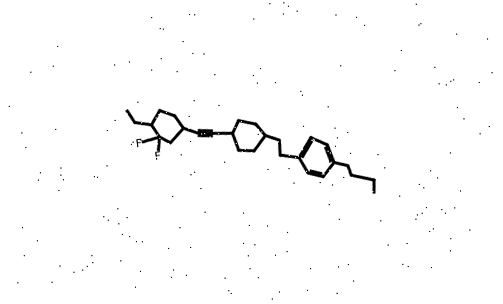 CCCCc1ccc(CCC2CCC(C#CC3CCC(CC)C(F)(F)C3)CC2)cc1